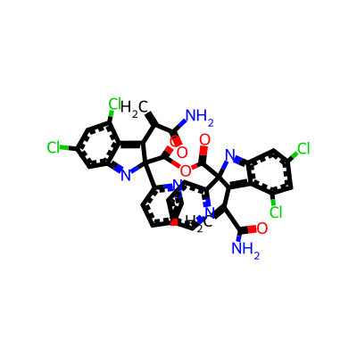 C=C(C(N)=O)C1=c2c(Cl)cc(Cl)cc2=NC1(C(=O)OC(=O)C1(c2ccccn2)N=c2cc(Cl)cc(Cl)c2=C1C(=C)C(N)=O)c1ccccn1